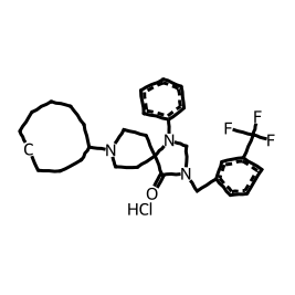 Cl.O=C1N(Cc2cccc(C(F)(F)F)c2)CN(c2ccccc2)C12CCN(C1CCCCCCCCC1)CC2